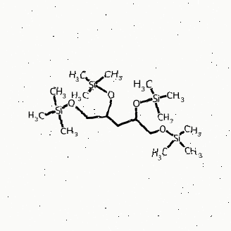 C[Si](C)(C)OCC(CC(CO[Si](C)(C)C)O[Si](C)(C)C)O[Si](C)(C)C